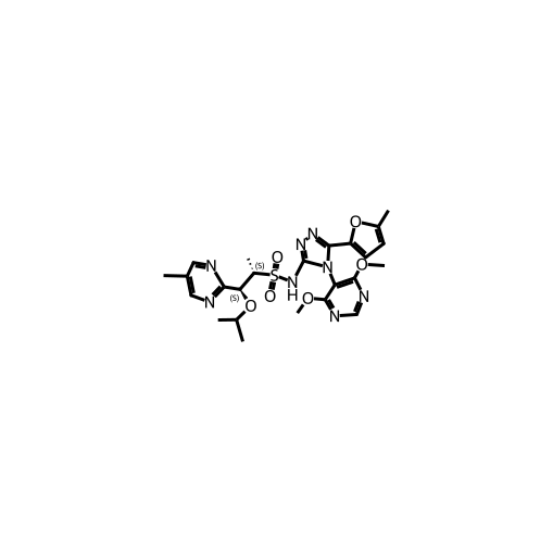 COc1ncnc(OC)c1-n1c(NS(=O)(=O)[C@@H](C)[C@@H](OC(C)C)c2ncc(C)cn2)nnc1-c1ccc(C)o1